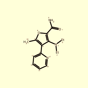 CCN(CC)c1c(C(N)=O)oc(C)c1-c1ccccn1